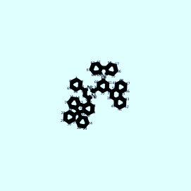 c1ccc(-c2cc(-c3cccc4c3-c3ccccc3C4(c3ccccc3)c3ccccc3)nc(-c3cc(-c4cc5ccccc5c5ccccc45)cc(-n4c5ccccc5c5ccccc54)c3)n2)cc1